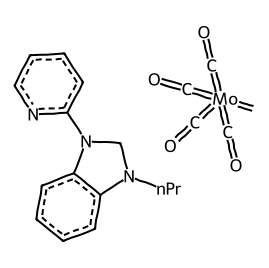 CCCN1CN(c2ccccn2)c2ccccc21.[CH2]=[Mo](=[C]=O)(=[C]=O)(=[C]=O)=[C]=O